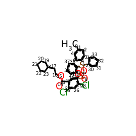 Cc1ccc(S(OS(=O)(=O)c2cc(C(=O)OCCC3CCCCC3)c(Cl)cc2Cl)(c2ccccc2)c2ccccc2)cc1